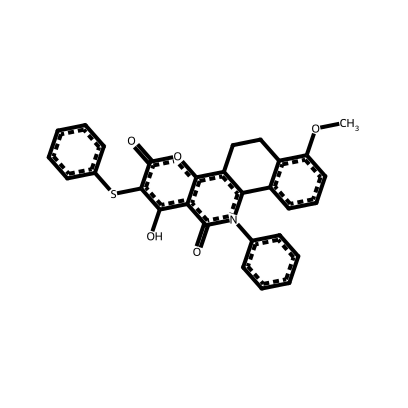 COc1cccc2c1CCc1c-2n(-c2ccccc2)c(=O)c2c(O)c(Sc3ccccc3)c(=O)oc12